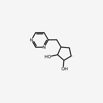 OC1[CH]CC(Cc2ccncn2)C1O